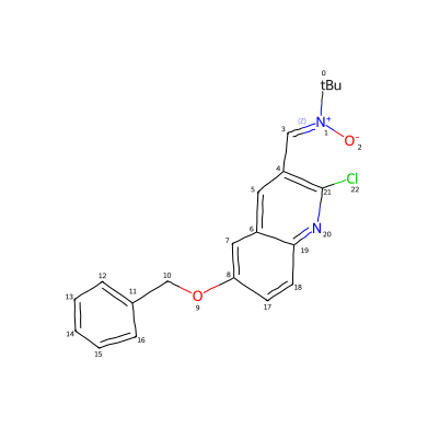 CC(C)(C)/[N+]([O-])=C/c1cc2cc(OCc3ccccc3)ccc2nc1Cl